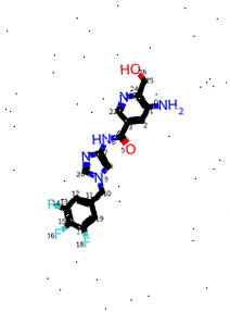 Nc1cc(C(=O)Nc2cn(Cc3cc(F)c(F)c(F)c3)cn2)cnc1CO